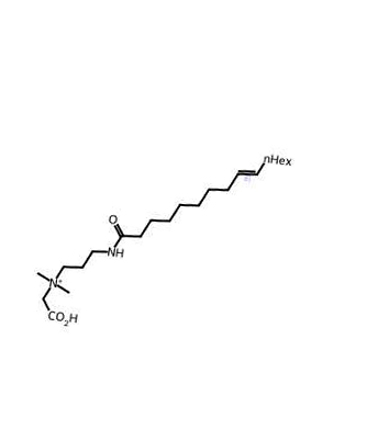 CCCCCC/C=C/CCCCCCCC(=O)NCCC[N+](C)(C)CC(=O)O